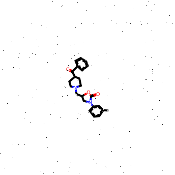 Cc1cccc(N2CC(CN3CCC(C(=O)c4ccccc4)CC3)OC2=O)c1